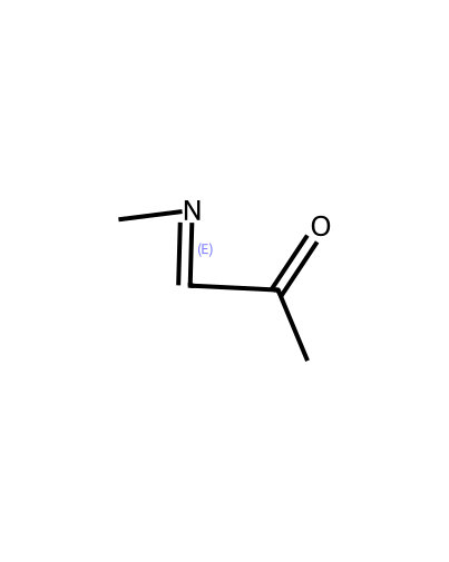 C/N=C/C(C)=O